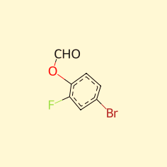 O=COc1ccc(Br)cc1F